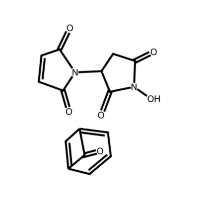 O=C1CC(N2C(=O)C=CC2=O)C(=O)N1O.O=C1c2cccc1c2